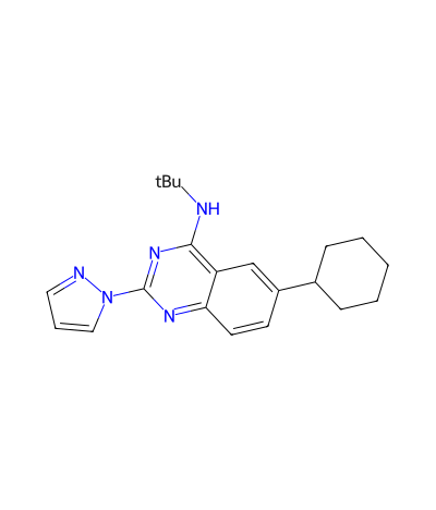 CC(C)(C)Nc1nc(-n2cccn2)nc2ccc(C3CCCCC3)cc12